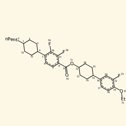 CCCCCC1CCC(c2ccc(C(=O)OC3CCC(c4ccc(OCC)c(F)c4)CC3)c(F)c2F)CC1